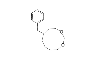 c1ccc(CC2CCCCOCOCC2)cc1